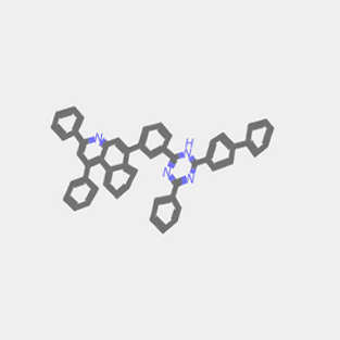 c1ccc(C2=NC(c3ccc(-c4ccccc4)cc3)NC(c3cccc(-c4cc5nc(-c6ccccc6)cc(-c6ccccc6)c5c5ccccc45)c3)=N2)cc1